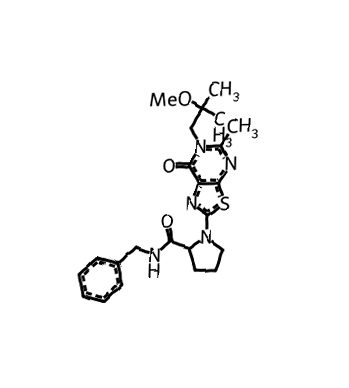 COC(C)(C)Cn1c(C)nc2sc(N3CCCC3C(=O)NCc3ccccc3)nc2c1=O